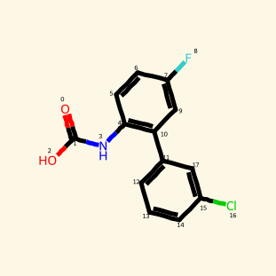 O=C(O)Nc1ccc(F)cc1-c1cccc(Cl)c1